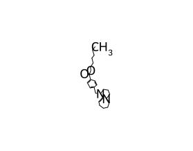 CCCCCCOC(=O)c1ccc(CN2CCCN3CCCCC=C32)cc1